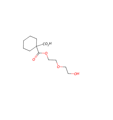 O=C(O)C1(C(=O)OCCOCCO)CCCCC1